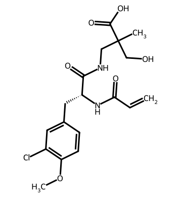 C=CC(=O)N[C@H](Cc1ccc(OC)c(Cl)c1)C(=O)NCC(C)(CO)C(=O)O